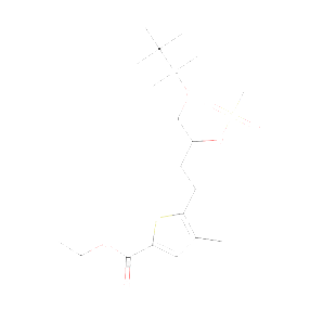 CCOC(=O)c1cc(C)c(CCC(CO[Si](C)(C)C(C)(C)C)OS(C)(=O)=O)s1